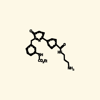 CCOC(=O)Nc1cccc(Cn2nc(-c3ccc(C(=O)NCCCN)cc3)ccc2=O)c1